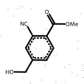 COC(=O)c1ccc([CH]O)cc1C#N